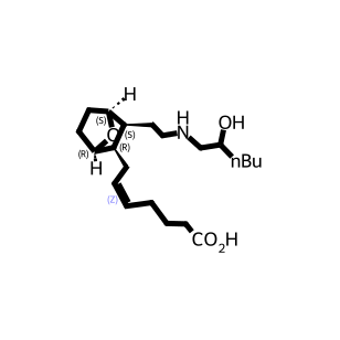 CCCCC(O)CNCC[C@H]1[C@@H](C/C=C\CCCC(=O)O)[C@H]2CC[C@@H]1O2